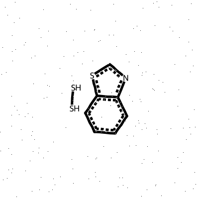 SS.c1ccc2scnc2c1